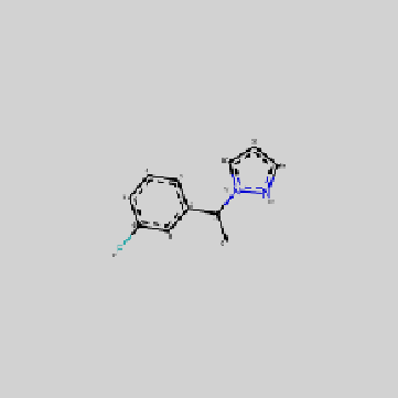 CC(c1cccc(F)c1)n1c[c]cn1